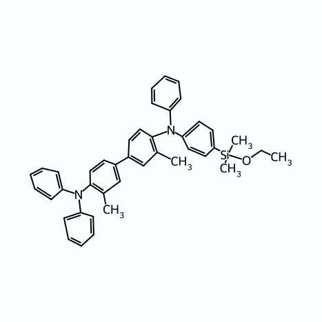 CCO[Si](C)(C)c1ccc(N(c2ccccc2)c2ccc(-c3ccc(N(c4ccccc4)c4ccccc4)c(C)c3)cc2C)cc1